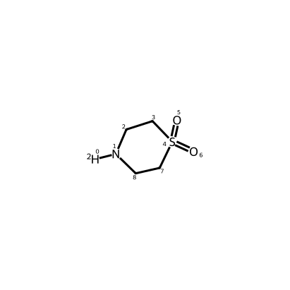 [2H]N1CCS(=O)(=O)CC1